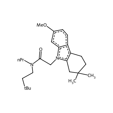 CCCN(CCC(C)(C)C)C(=O)Cn1c2c(c3ccc(OC)cc31)CCC(C)(C)C2